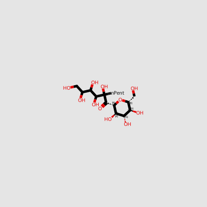 CCCCCC(O)(C(=O)[C@@H]1O[C@H](CO)[C@@H](O)[C@H](O)[C@H]1O)C(O)C(O)C(O)CO